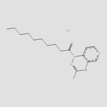 CCCCCCCCCC(=O)N1N=C(C)Nc2cnccc21.Cl